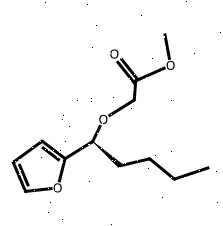 CCCC[C@H](OCC(=O)OC)c1ccco1